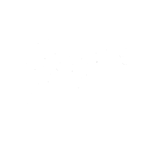 COC(=O)/C=C/c1cc(F)cc(N(Cc2ccc(-c3ccc4c(cnn4C)c3)cc2Cl)C(=O)c2ccccc2)c1